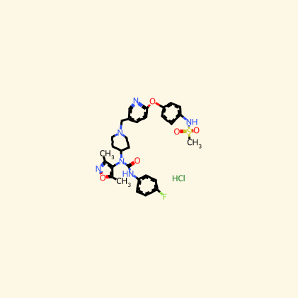 Cc1noc(C)c1N(C(=O)Nc1ccc(F)cc1)C1CCN(Cc2ccc(Oc3ccc(NS(C)(=O)=O)cc3)nc2)CC1.Cl